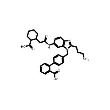 CCCCc1nc2ccc(NC(=O)CC3CCCCC3C(=O)O)cc2n1Cc1ccc(-c2ccccc2C(=O)O)cc1